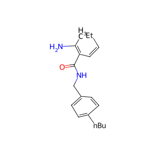 CC/C=C\C(C(=O)NCc1ccc(CCCC)cc1)=C(/C)N